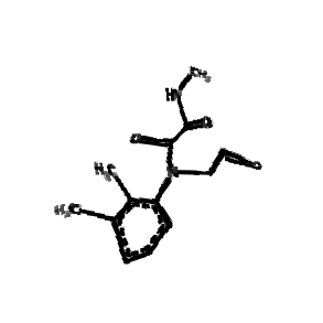 CNC(=O)C(=O)N(CC=O)c1cccc(C)c1C